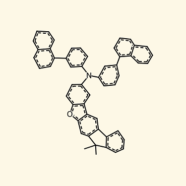 CC1(C)c2ccccc2-c2cc3c(cc21)oc1ccc(N(c2cccc(-c4cccc5ccccc45)c2)c2cccc(-c4cccc5ccccc45)c2)cc13